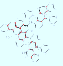 Oc1c(-c2ccccc2)cccc1-c1cccc(-c2cccc(-c3ccccc3)c2O)c1N1c2cc(N(c3ccccc3)c3ccccc3)ccc2B2c3ccc(N(c4ccccc4)c4ccccc4)cc3N(c3c(-c4cccc(-c5ccccc5)c4O)cccc3-c3cccc(-c4ccccc4)c3O)c3cc(-c4ccccc4)cc1c32